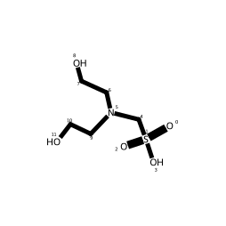 O=S(=O)(O)CN(CCO)CCO